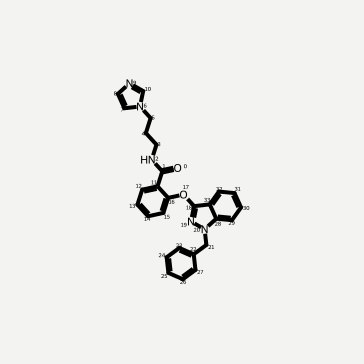 O=C(NCCCn1ccnc1)c1ccccc1Oc1nn(Cc2ccccc2)c2ccccc12